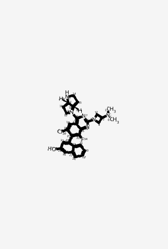 CN(C)C1CN(c2nc(N3CC[C@@H]4NCC[C@@H]43)c3cc(Cl)c(-c4cc(O)cc5ccccc45)c(F)c3n2)C1